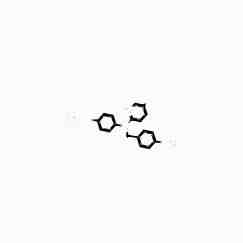 COc1c[c]c(N(C(=O)c2ccc(C#N)cc2)c2ccc(Cl)cn2)cc1